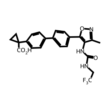 Cc1noc(-c2ccc(-c3ccc(C4(C(=O)O)CC4)cc3)cc2)c1NC(=O)NCC(F)(F)F